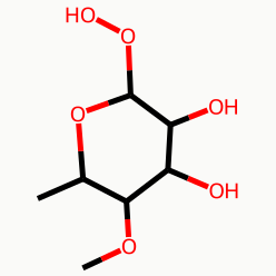 COC1C(C)OC(OO)C(O)C1O